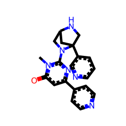 Cn1c(N2CC3CC2(c2cccnc2)CN3)nc(-c2ccncc2)cc1=O